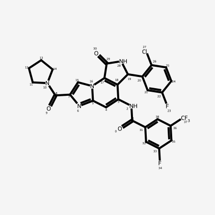 O=C(Nc1cc2nc(C(=O)N3CCCC3)cn2c2c1C(c1cc(F)ccc1Cl)NC2=O)c1cc(F)cc(C(F)(F)F)c1